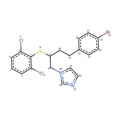 Clc1cccc(Cl)c1SC(CCc1ccc(Br)cc1)Cn1ccnc1